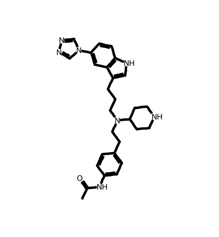 CC(=O)Nc1ccc(CCN(CCCc2c[nH]c3ccc(-n4cnnc4)cc23)C2CCNCC2)cc1